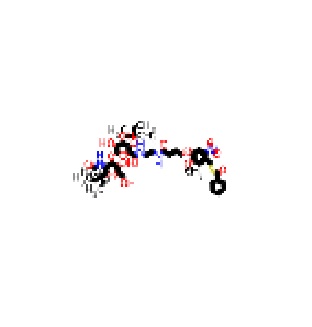 CCC(C)(CC)OC1C(C(=O)NCCNC(=O)CCCOc2cc([N+](=O)[O-])c(CSC(=O)c3ccccc3)cc2OC)OC(OC2C(O)C(CO)OC(C(C)(CC)CC)C2NC(C)=O)C(O)C1O